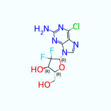 Nc1nc(Cl)c2ncn([C@@H]3O[C@H](CO)[C@@H](O)C3(F)F)c2n1